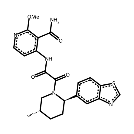 COc1nccc(NC(=O)C(=O)N2C[C@@H](C)CC[C@@H]2c2ccc3scnc3c2)c1C(N)=O